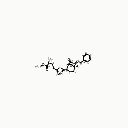 CCCN(CCc1nnc([C@@H]2CC[C@@H]3CN2C(=O)N3OCc2ccccc2)o1)C(=O)OC(C)(C)C